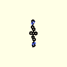 c1ccc2c(-c3ccc4cc(-c5cn6ccccc6n5)ccc4c3)c3ccccc3c(-c3ccc4cc(-c5cn6ccccc6n5)ccc4c3)c2c1